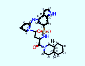 Nc1cccn1CCC(NS(=O)(=O)c1ccc2cc[nH]c2c1)C(=O)N1CC[C@H]2CCCC[C@@H]2C1